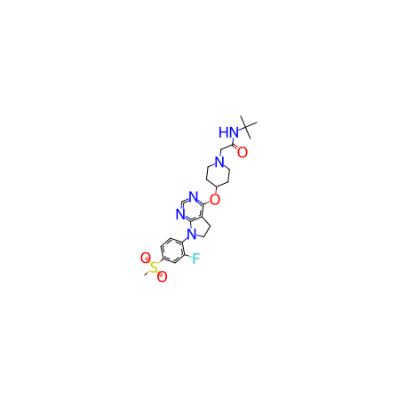 CC(C)(C)NC(=O)CN1CCC(Oc2ncnc3c2CCN3c2ccc(S(C)(=O)=O)cc2F)CC1